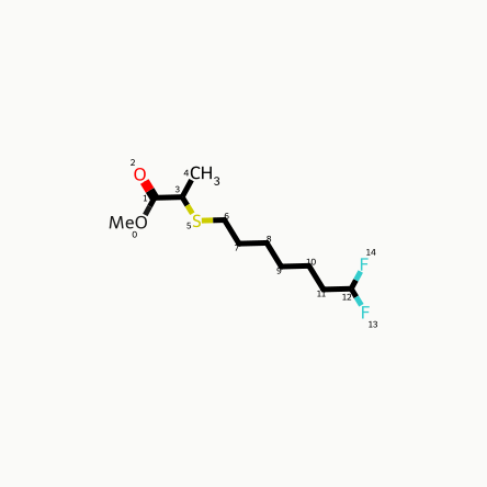 COC(=O)C(C)SCCCCCCC(F)F